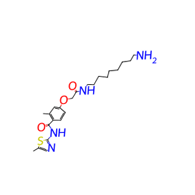 Cc1cnc(NC(=O)c2ccc(OCC(=O)NCCCCCCCCCN)cc2C)s1